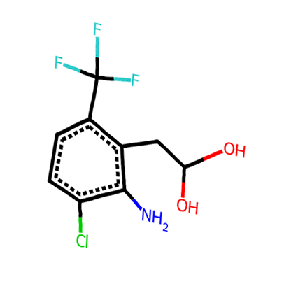 Nc1c(Cl)ccc(C(F)(F)F)c1CC(O)O